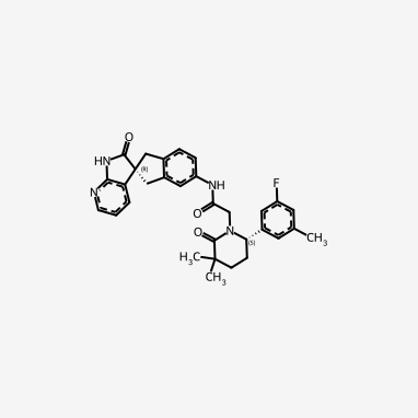 Cc1cc(F)cc([C@@H]2CCC(C)(C)C(=O)N2CC(=O)Nc2ccc3c(c2)C[C@@]2(C3)C(=O)Nc3ncccc32)c1